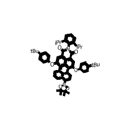 CC(C)c1cccc(C(C)C)c1N1C(=O)c2cc(Oc3ccc(C(C)(C)C)cc3)c3c4cccc5c(B6OC(C)(C)C(C)(C)O6)ccc(c6c(Oc7ccc(C(C)(C)C)cc7)cc(c2c36)C1=O)c54